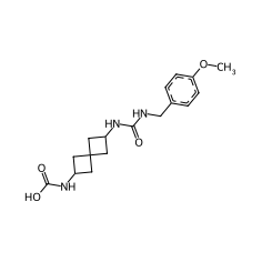 COc1ccc(CNC(=O)NC2CC3(CC(NC(=O)O)C3)C2)cc1